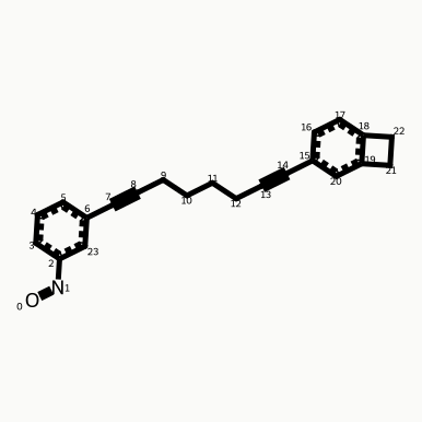 O=Nc1cccc(C#CCCCCC#Cc2ccc3c(c2)CC3)c1